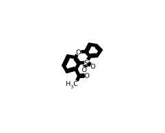 CC(=O)c1cccc2c1S(=O)(=O)c1ccccc1O2